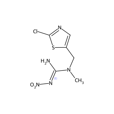 CN(Cc1cnc(Cl)s1)/C(N)=N/[N+](=O)[O-]